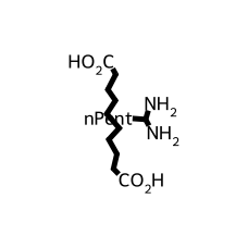 CCCCCC(N)N.O=C(O)CCCCCCCCC(=O)O